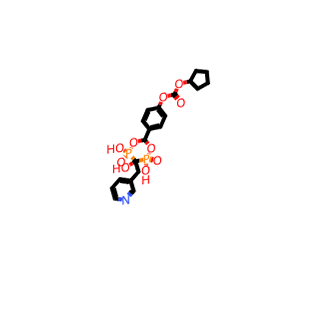 O=C(Oc1ccc(C2OP(=O)(O)C(O)(Cc3cccnc3)P(=O)(O)O2)cc1)OC1CCCC1